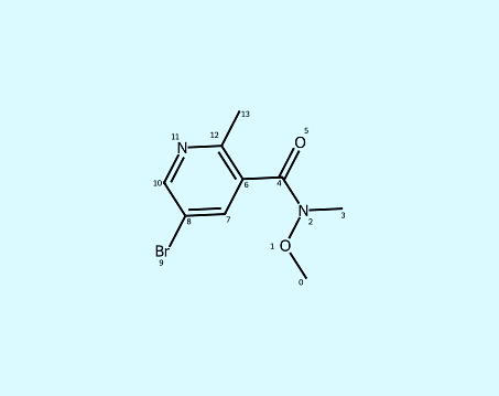 CON(C)C(=O)c1cc(Br)cnc1C